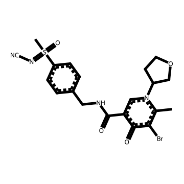 Cc1c(Br)c(=O)c(C(=O)NCc2ccc(S(C)(=O)=NC#N)cc2)cn1C1CCOC1